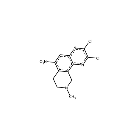 CN1CCc2c([N+](=O)[O-])cc3nc(Cl)c(Cl)nc3c2C1